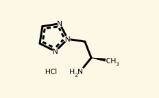 C[C@@H](N)Cn1nccn1.Cl